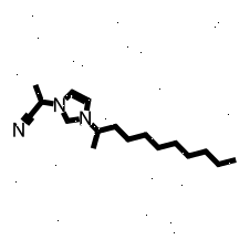 CCCCCCCCCC(C)N1C=CN(C(C)C#N)C1